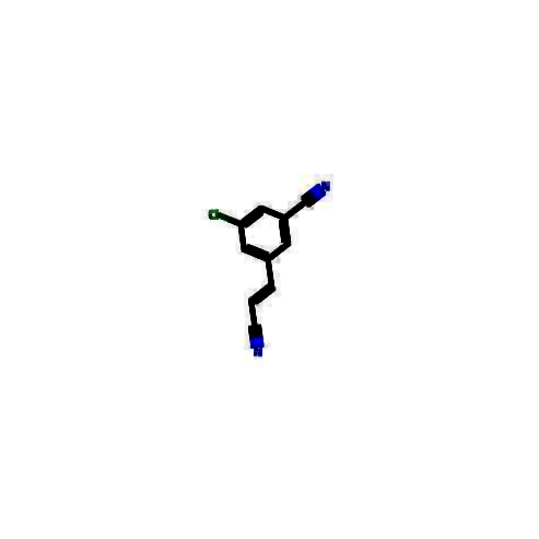 N#CC=Cc1cc(Cl)cc(C#N)c1